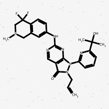 C=CCn1c(=O)c2cnc(Nc3ccc4c(c3)CN(C)CC4(F)F)nc2n1-c1cccc(C(C)(C)O)n1